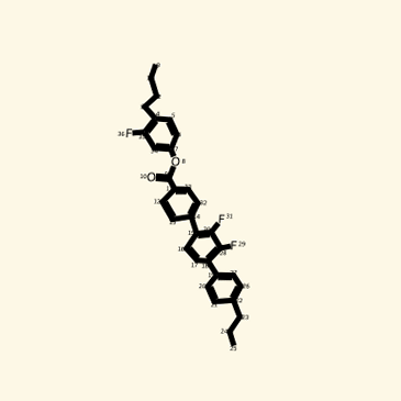 CCCCc1ccc(OC(=O)c2ccc(-c3ccc(-c4ccc(CCC)cc4)c(F)c3F)cc2)cc1F